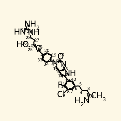 C[C@H](N)CCCc1cc(Cl)c(F)c(-c2cc3cn(-c4ccc(CO[C@H](CO)CCNC(=N)N)cc4)c(=O)nc3[nH]2)c1